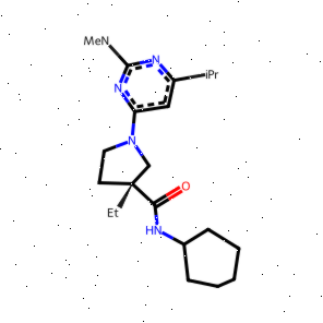 CC[C@@]1(C(=O)NC2CCCCC2)CCN(c2cc(C(C)C)nc(NC)n2)C1